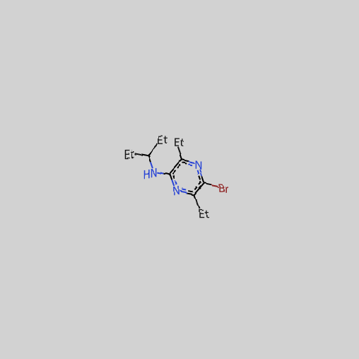 CCc1nc(NC(CC)CC)c(CC)nc1Br